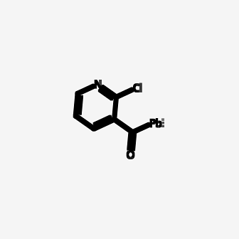 O=[C]([Pb])c1cccnc1Cl